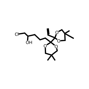 C=CC1(C2(CCCC(O)CCl)OCC(C)(C)CO2)OCC(C)(C)CO1